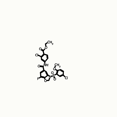 CCOC(=O)c1ccc(NC(=O)c2cc(F)c3c(c2)N(S(=O)(=O)c2cc(Cl)ccc2OC)CO3)cc1Cl